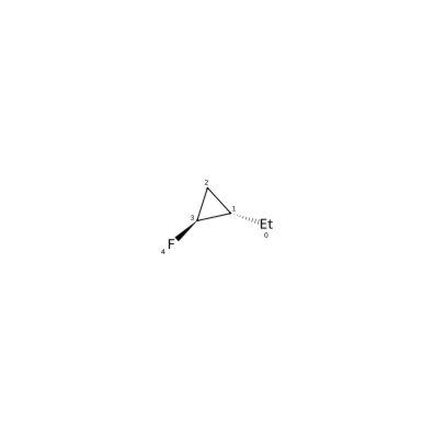 CC[C@H]1C[C@@H]1F